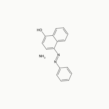 N.Oc1ccc(N=Nc2ccccc2)c2ccccc12